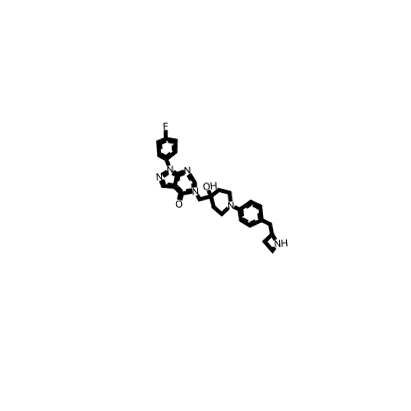 O=c1c2cnn(-c3ccc(F)cc3)c2ncn1CC1(O)CCN(c2ccc(CC3CCN3)cc2)CC1